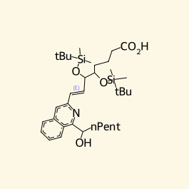 CCCCCC(O)c1nc(/C=C/C(O[Si](C)(C)C(C)(C)C)C(CCCC(=O)O)O[Si](C)(C)C(C)(C)C)cc2ccccc12